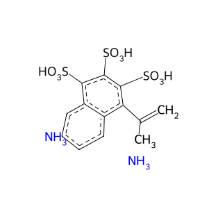 C=C(C)c1c(S(=O)(=O)O)c(S(=O)(=O)O)c(S(=O)(=O)O)c2ccccc12.N.N